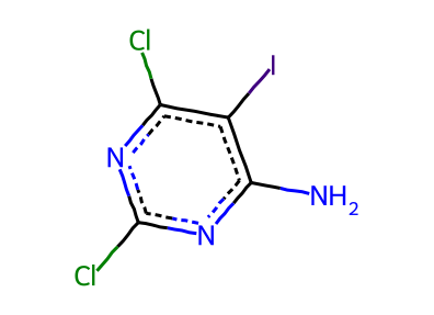 Nc1nc(Cl)nc(Cl)c1I